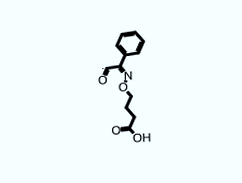 O=[C]C(=NOCCCC(=O)O)c1ccccc1